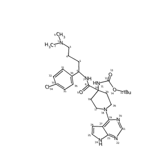 CN(C)CCCC(NC(=O)C1(NC(=O)OC(C)(C)C)CCN(c2ncnc3[nH]ccc23)CC1)c1ccc(Cl)cc1